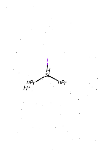 CCC[SiH](I)CCC.[H+]